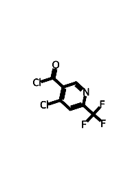 O=C(Cl)c1cnc(C(F)(F)F)cc1Cl